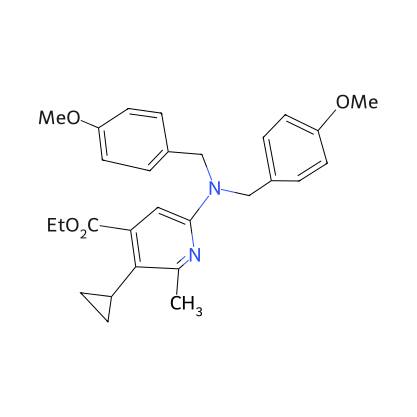 CCOC(=O)c1cc(N(Cc2ccc(OC)cc2)Cc2ccc(OC)cc2)nc(C)c1C1CC1